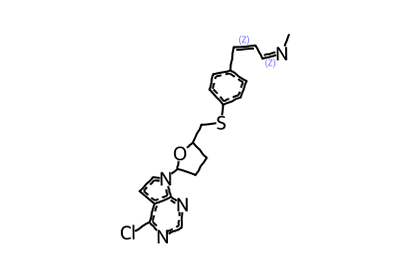 C/N=C\C=C/c1ccc(SCC2CCC(n3ccc4c(Cl)ncnc43)O2)cc1